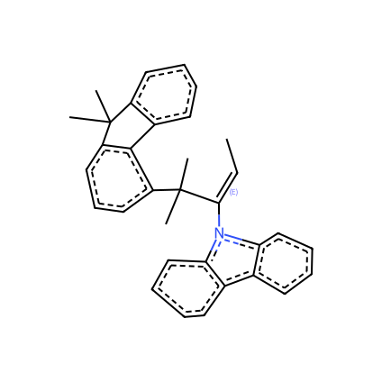 C/C=C(/n1c2ccccc2c2ccccc21)C(C)(C)c1cccc2c1-c1ccccc1C2(C)C